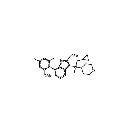 COc1cc(C)cc(C)c1-c1cccc2c([N+](C)(CC3CC3)C3CCOCC3)c(SC)nn12